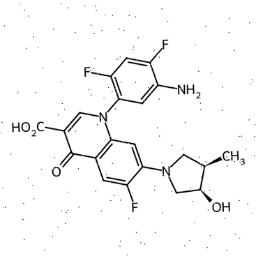 C[C@@H]1CN(c2cc3c(cc2F)c(=O)c(C(=O)O)cn3-c2cc(N)c(F)cc2F)C[C@@H]1O